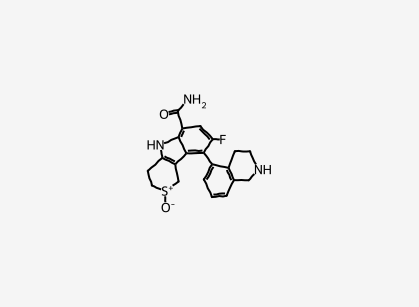 NC(=O)c1cc(F)c(-c2cccc3c2CCNC3)c2c3c([nH]c12)CC[S+]([O-])C3